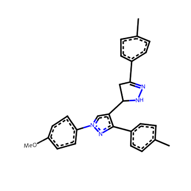 COc1ccc(-n2cc(C3CC(c4ccc(C)cc4)=NN3)c(-c3ccc(C)cc3)n2)cc1